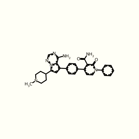 CN1CCC(c2cc(-c3ccc(-c4ccn(-c5ccccc5)c(=O)c4C(N)=O)cc3)c3c(N)ncnn23)CC1